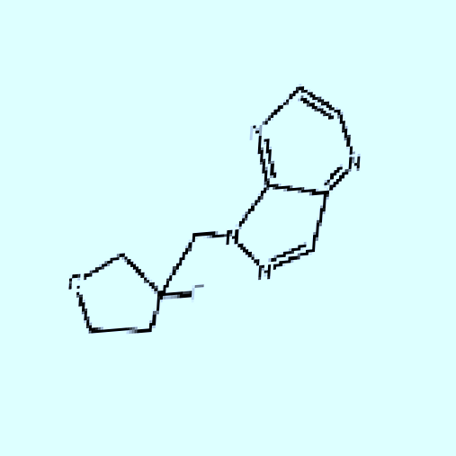 FC1(Cn2ncc3nccnc32)CCOC1